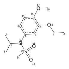 CCOc1cc([Si](C(C)C)S(C)(=O)=O)ccc1OC